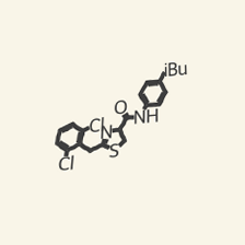 CCC(C)c1ccc(NC(=O)C2CSC(Cc3c(Cl)cccc3Cl)=N2)cc1